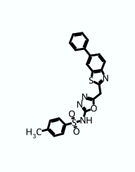 Cc1ccc(S(=O)(=O)Nc2nnc(Cc3nc4ccc(-c5ccccc5)cc4s3)o2)cc1